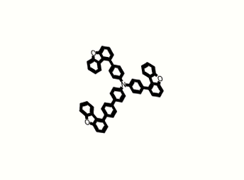 c1ccc2c(c1)oc1cccc(-c3ccc(-c4ccc(N(c5ccc(-c6cccc7oc8ccccc8c67)cc5)c5ccc(-c6cccc7oc8ccccc8c67)cc5)cc4)cc3)c12